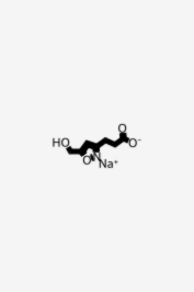 O=C([O-])CCc1cc(CO)on1.[Na+]